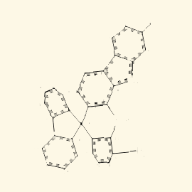 Clc1ccc2c(c1)sc1c3c(ccc12)C1(c2ccccc2-c2ccccc21)c1cccc(Br)c1S3